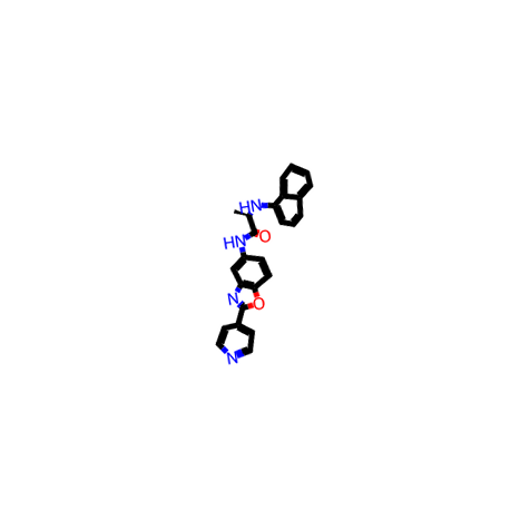 C[C@@H](Nc1cccc2ccccc12)C(=O)Nc1ccc2oc(-c3ccncc3)nc2c1